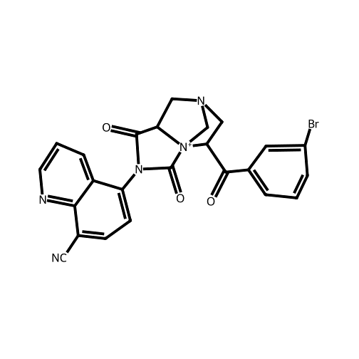 N#Cc1ccc(N2C(=O)C3CN4CC(C(=O)c5cccc(Br)c5)[N+]3(C4)C2=O)c2cccnc12